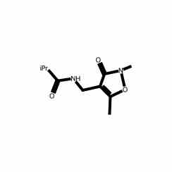 Cc1on(C)c(=O)c1CNC(=O)C(C)C